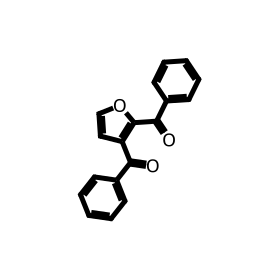 O=C(c1ccccc1)c1ccoc1C(=O)c1ccccc1